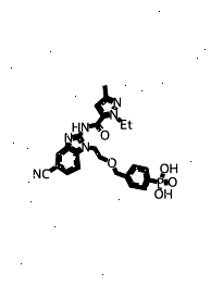 CCn1nc(C)cc1C(=O)Nc1nc2cc(C#N)ccc2n1CCOCc1ccc(P(=O)(O)O)cc1